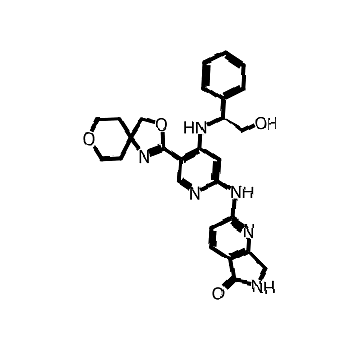 O=C1NCc2nc(Nc3cc(N[C@H](CO)c4ccccc4)c(C4=NC5(CCOCC5)CO4)cn3)ccc21